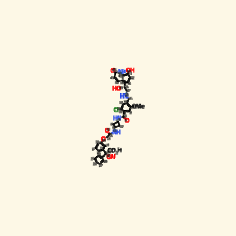 COc1cc(C(=O)N[C@H]2C[C@H](NC(=O)COc3cccc([C@](O)(C(=O)O)c4ccccc4)c3)C2)c(Cl)cc1CNC[C@H](O)c1ccc(O)c2[nH]c(=O)ccc12